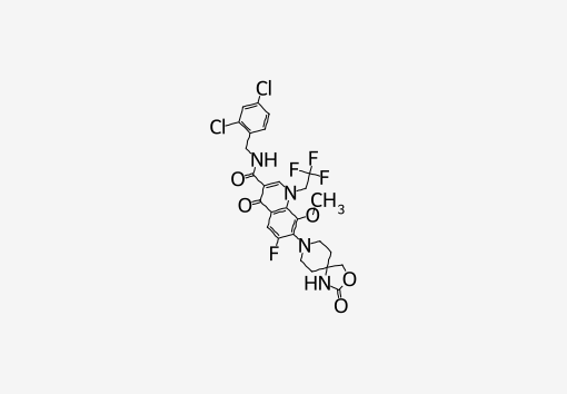 COc1c(N2CCC3(CC2)COC(=O)N3)c(F)cc2c(=O)c(C(=O)NCc3ccc(Cl)cc3Cl)cn(CC(F)(F)F)c12